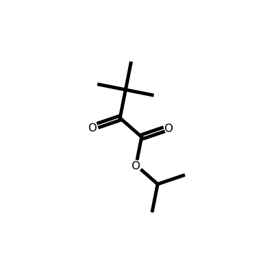 CC(C)OC(=O)C(=O)C(C)(C)C